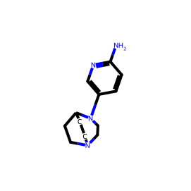 Nc1ccc(N2CCN3CCC2CC3)cn1